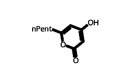 CCCCCc1cc(O)cc(=O)o1